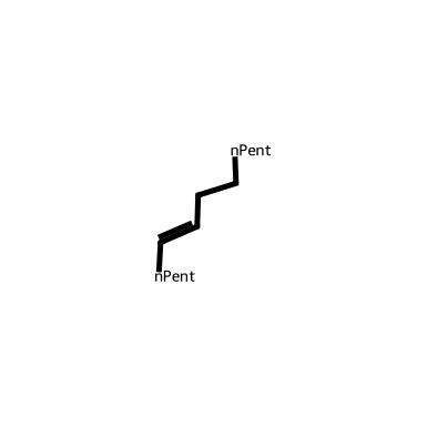 [CH2]CCCCCCC=CCCCCC